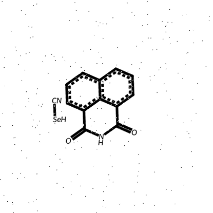 N#C[SeH].O=C1NC(=O)c2cccc3cccc1c23